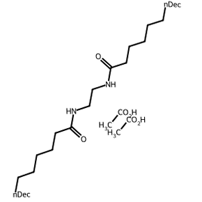 CC(=O)O.CC(=O)O.CCCCCCCCCCCCCCCC(=O)NCCNC(=O)CCCCCCCCCCCCCCC